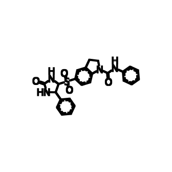 O=C1NC(c2ccccc2)C(S(=O)(=O)c2ccc3c(c2)CCN3C(=O)Nc2ccccc2)N1